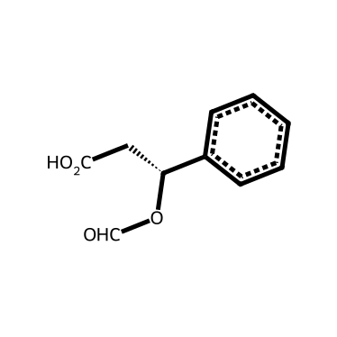 O=CO[C@H](CC(=O)O)c1ccccc1